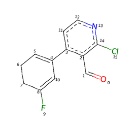 O=Cc1c(C2=CCCC(F)=C2)ccnc1Cl